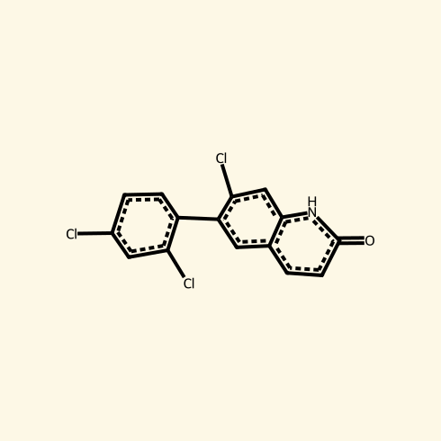 O=c1ccc2cc(-c3ccc(Cl)cc3Cl)c(Cl)cc2[nH]1